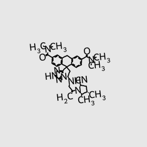 C=C(CNCCC1(c2nn[nH]n2)c2ccc(C(=O)N(C)C)cc2Cc2cc(C(=O)N(C)C)ccc21)N1C(C#N)C[C@H](C)C1C